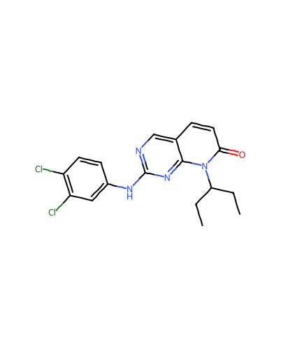 CCC(CC)n1c(=O)ccc2cnc(Nc3ccc(Cl)c(Cl)c3)nc21